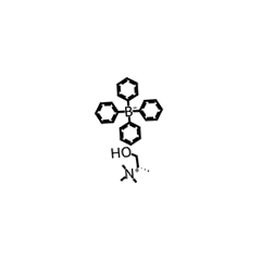 C[C@@H](CO)[N+](C)(C)C.c1ccc([B-](c2ccccc2)(c2ccccc2)c2ccccc2)cc1